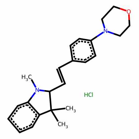 CN1c2ccccc2C(C)(C)C1C=Cc1ccc(N2CCOCC2)cc1.Cl